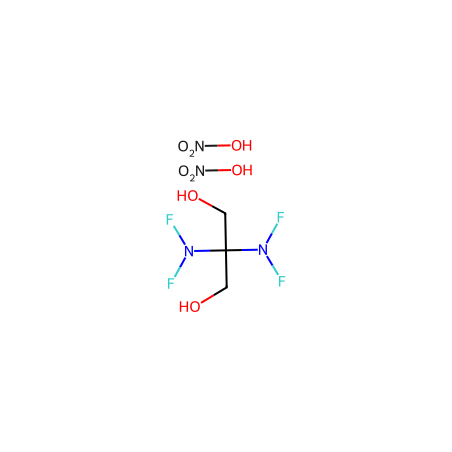 O=[N+]([O-])O.O=[N+]([O-])O.OCC(CO)(N(F)F)N(F)F